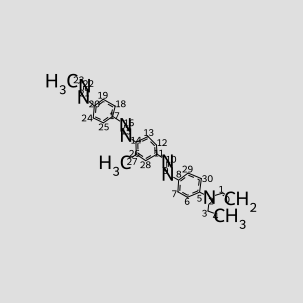 C=CN(CC)c1ccc(N=Nc2ccc(N=Nc3ccc(N=NC)cc3)c(C)c2)cc1